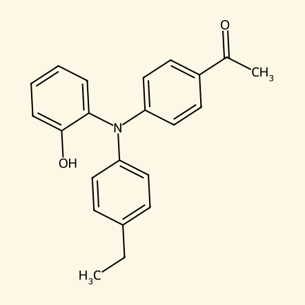 CCc1ccc(N(c2ccc(C(C)=O)cc2)c2ccccc2O)cc1